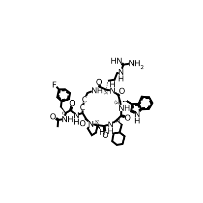 CC(=O)N[C@@H](Cc1cccc(F)c1)C(=O)NC1CCCNC(=O)[C@H](CCCNC(=N)N)NC(=O)[C@H](Cc2c[nH]c3ccccc23)NC(=O)[C@@H](CC2CCCCC2)NC(=O)[C@@H]2CCCN2C1=O